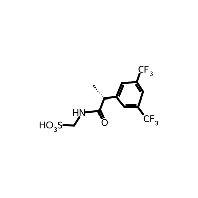 C[C@@H](C(=O)NCS(=O)(=O)O)c1cc(C(F)(F)F)cc(C(F)(F)F)c1